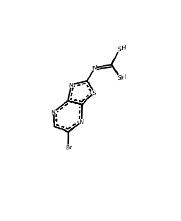 SC(S)=Nc1nc2ncc(Br)nc2s1